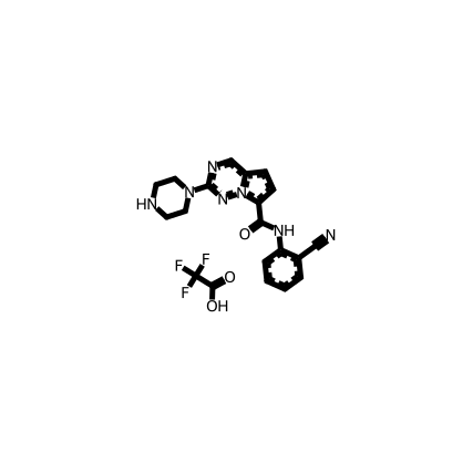 N#Cc1ccccc1NC(=O)c1ccc2cnc(N3CCNCC3)nn12.O=C(O)C(F)(F)F